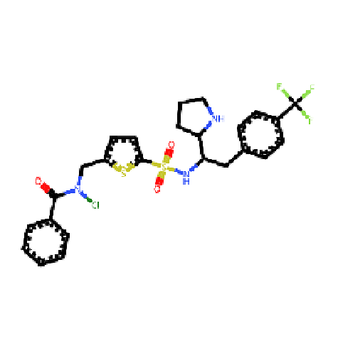 O=C(c1ccccc1)N(Cl)Cc1ccc(S(=O)(=O)NC(Cc2ccc(C(F)(F)F)cc2)C2CCCN2)s1